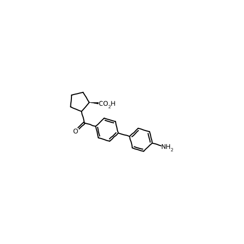 Nc1ccc(-c2ccc(C(=O)C3CCC[C@H]3C(=O)O)cc2)cc1